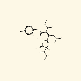 CCC(C)/C(C(=O)Oc1ccc(C)cc1)=C(\CC(C)C)C1=NC(C)(C(C)CC)C(=O)N1